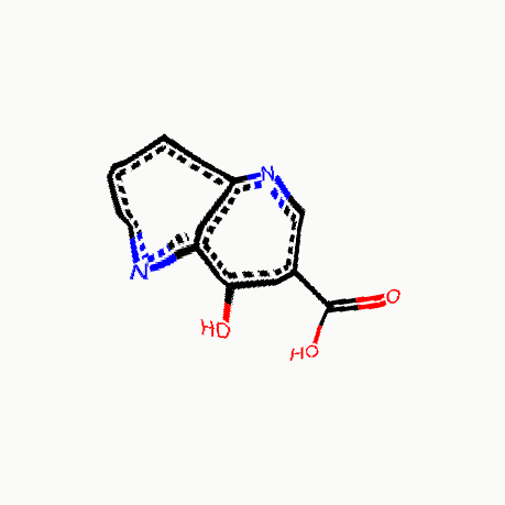 O=C(O)c1cnc2cccnc2c1O